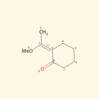 CO/C(C)=C1/CCCCC1=O